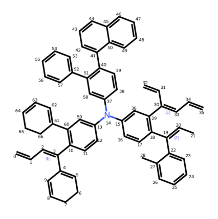 C=C/C=C(\C1=CCCC=C1)c1ccc(N(c2ccc(/C(=C/C)c3ccccc3C)c(/C(C=C)=C/C=C)c2)c2ccc(-c3cccc4ccccc34)c(-c3ccccc3)c2)cc1C1=CC=CCC1